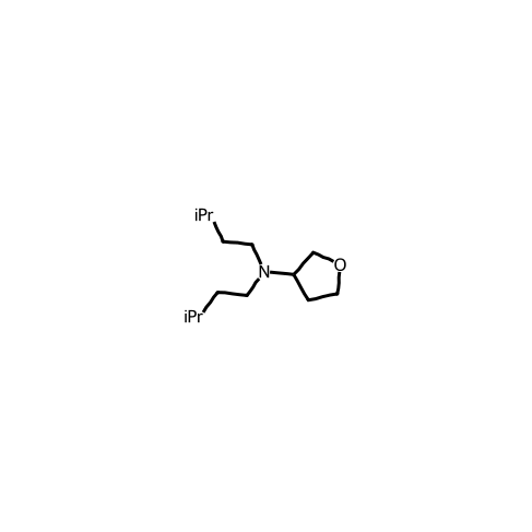 CC(C)CCN(CCC(C)C)C1CCOC1